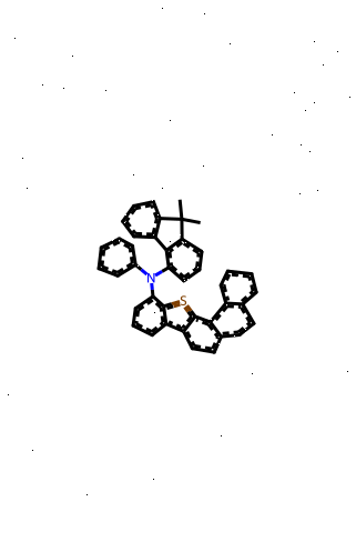 CC1(C)c2ccccc2-c2c(N(c3ccccc3)c3cccc4c3sc3c4ccc4ccc5ccccc5c43)cccc21